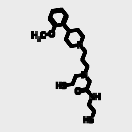 COc1ccccc1C1CCN(CCCN(CCS)CC(=O)NCCS)CC1